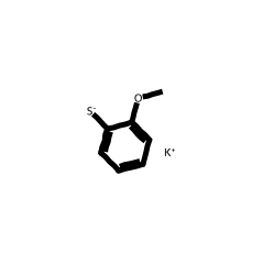 COc1ccccc1[S-].[K+]